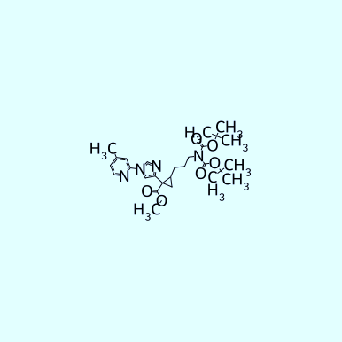 COC(=O)C1(c2cn(-c3cc(C)ccn3)cn2)CC1CCCN(C(=O)OC(C)(C)C)C(=O)OC(C)(C)C